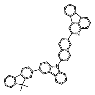 CC1(C)c2ccccc2-c2ccc(-c3ccc4c(c3)c3ccccc3n4-c3ccc4cc(-c5cc6c7c(cccc7n5)-c5ccccc5-6)ccc4c3)cc21